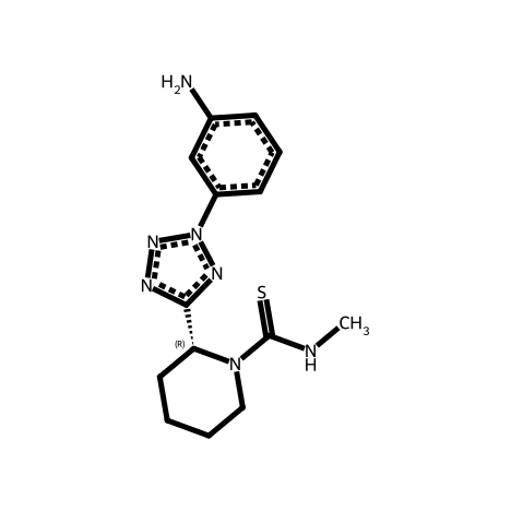 CNC(=S)N1CCCC[C@@H]1c1nnn(-c2cccc(N)c2)n1